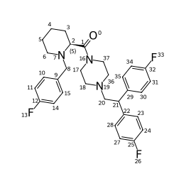 O=C([C@@H]1CCCCN1Cc1ccc(F)cc1)N1CCN(CC(c2ccc(F)cc2)c2ccc(F)cc2)CC1